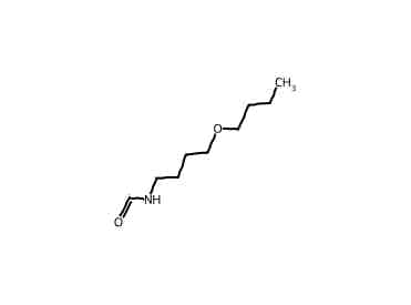 CCCCOCCCCN[C]=O